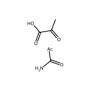 CC(=O)C(=O)O.CC(=O)C(N)=O